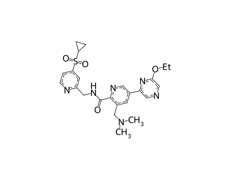 CCOc1cncc(-c2cnc(C(=O)NCc3cc(S(=O)(=O)C4CC4)ccn3)c(CN(C)C)c2)n1